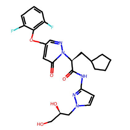 O=C(Nc1ccn(C[C@H](O)CO)n1)[C@H](CC1CCCC1)n1ncc(Oc2c(F)cccc2F)cc1=O